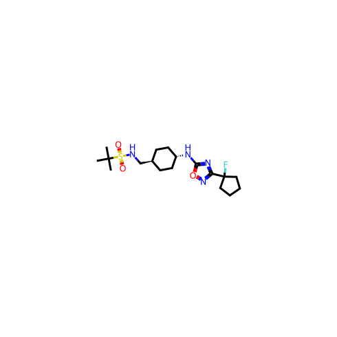 CC(C)(C)S(=O)(=O)NC[C@H]1CC[C@H](Nc2nc(C3(F)CCCC3)no2)CC1